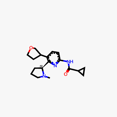 CN1CCC[C@H]1c1nc(NC(=O)C2CC2)ccc1C1CCOC1